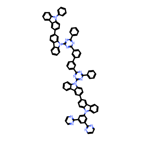 c1ccc(-c2nc(-c3cccc(-c4cccc(-c5nc(-c6ccccc6)nc(-n6c7ccccc7c7ccc(-c8ccc9c(c8)c8ccccc8n9-c8ccccc8)cc76)n5)c4)c3)nc(-n3c4ccccc4c4cc(-c5ccc6c(c5)c5ccccc5n6-c5cc(-c6ncccn6)cc(-c6ncccn6)c5)ccc43)n2)cc1